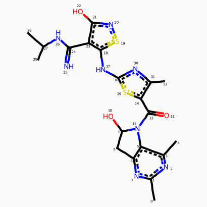 Cc1nc(C)c2c(n1)CC(O)N2C(=O)c1sc(Nc2snc(O)c2C(=N)NC(C)C)nc1C